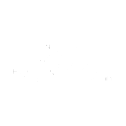 C=C(CNc1cc(-c2ccc(C(C)C)cc2)c2c(c1C(N)=O)CCO2)C(=O)O